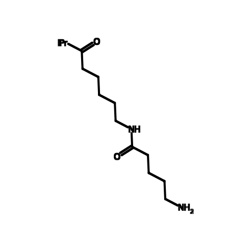 CC(C)C(=O)CCCCCNC(=O)CCCCN